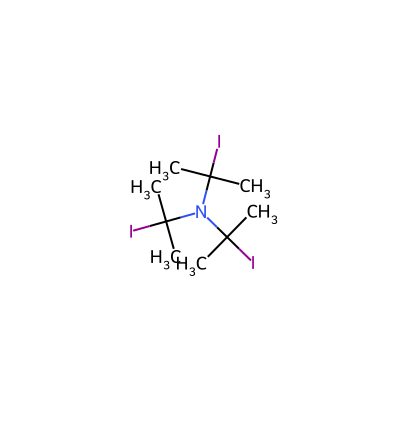 CC(C)(I)N(C(C)(C)I)C(C)(C)I